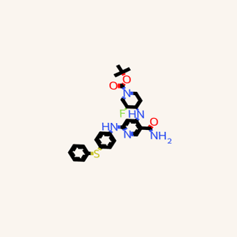 CC(C)(C)OC(=O)N1CC[C@@H](Nc2cc(Nc3ccc(Sc4ccccc4)cc3)ncc2C(N)=O)[C@@H](F)C1